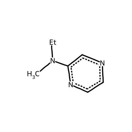 CCN(C)c1cnccn1